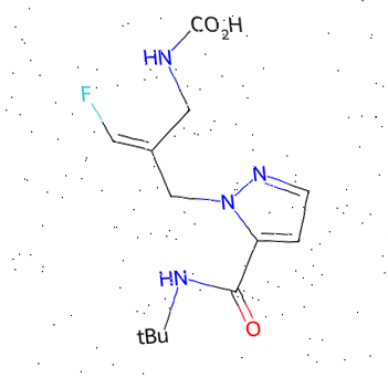 CC(C)(C)NC(=O)c1ccnn1C/C(=C/F)CNC(=O)O